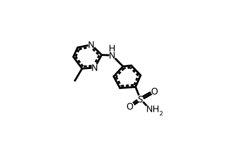 Cc1ccnc(Nc2ccc(S(N)(=O)=O)cc2)n1